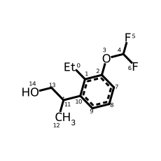 CCc1c(OC(F)F)cccc1[C](C)CO